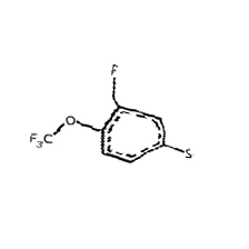 Fc1cc([S])ccc1OC(F)(F)F